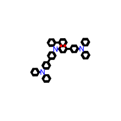 c1ccc(-c2ccccc2N(c2ccc(-c3ccc(N(c4ccccc4)c4ccccc4)cc3)cc2)c2ccc(-c3ccc(N(c4ccccc4)c4ccccc4)cc3)cc2)cc1